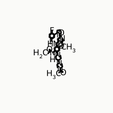 C=CC(=O)Nc1cc(Nc2cc(N3OCCC3c3cc(F)ccc3F)ncn2)c(OC)cc1N1CCC(N2CCN(C(C)=O)CC2)CC1